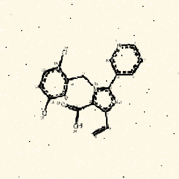 C=Cc1nc(-c2cccnc2)n(Cc2cc(Cl)ccc2Cl)c1C(=O)O